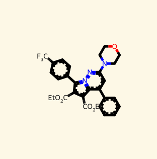 CCOC(=O)c1c(C(=O)OCC)c2c(-c3ccccc3)cc(N3CCOCC3)nn2c1-c1ccc(C(F)(F)F)cc1